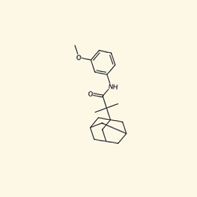 COc1cccc(NC(=O)C(C)(C)C23CC4CC(CC(C4)C2)C3)c1